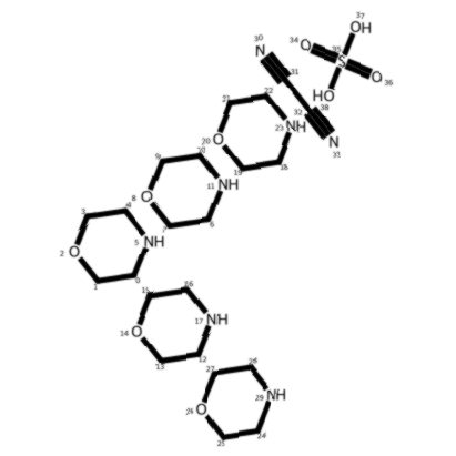 C1COCCN1.C1COCCN1.C1COCCN1.C1COCCN1.C1COCCN1.N#CC#N.O=S(=O)(O)O